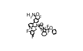 NC(=O)c1cc(-c2cccnc2[C@H](Cc2cc(F)cc(F)c2)NC(=O)Cn2nc(C(F)(F)Oc3ccccc3)c3c2CCCC3)ccc1F